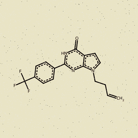 C=CCCn1ccc2c(=O)[nH]c(-c3ccc(C(F)(F)F)cc3)nc21